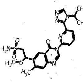 COC(CS(N)(=O)=O)c1cc2c(=O)n(-c3cccc(-c4nncn4C(C)C)n3)cnc2cc1C